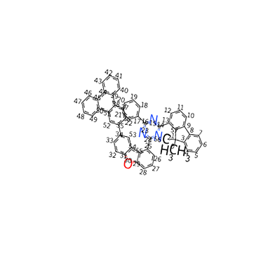 CC1(C)c2ccccc2-c2cccc(-c3nc(-c4ccccc4)nc(-c4cccc5oc6ccc(-c7ccc8c9ccccc9c9ccccc9c8c7)cc6c45)n3)c21